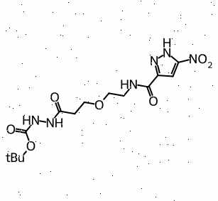 CC(C)(C)OC(=O)NNC(=O)CCOCCNC(=O)c1cc([N+](=O)[O-])[nH]n1